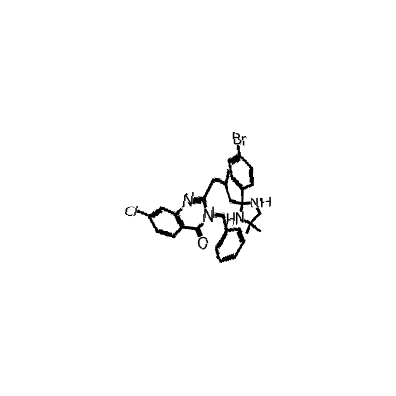 CC(Cc1nc2cc(Cl)ccc2c(=O)n1Cc1ccccc1)CC1(c2ccc(Br)cc2)NCC(C)(C)N1